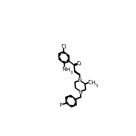 CC1CN(Cc2ccc(F)cc2)CCN1/C=C/C(=O)c1cc(Cl)ccc1N